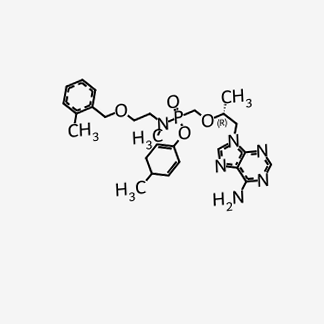 Cc1ccccc1COCCN(C)P(=O)(CO[C@H](C)Cn1cnc2c(N)ncnc21)OC1=CCC(C)C=C1